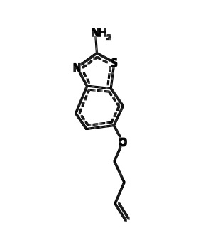 C=CCCOc1ccc2nc(N)sc2c1